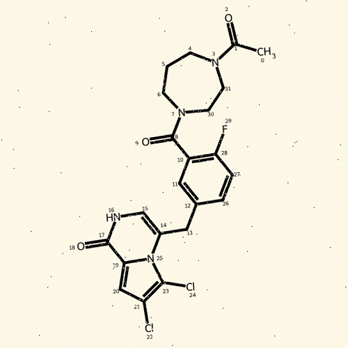 CC(=O)N1CCCN(C(=O)c2cc(Cc3c[nH]c(=O)c4cc(Cl)c(Cl)n34)ccc2F)CC1